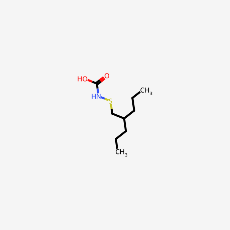 CCCC(CCC)CSNC(=O)O